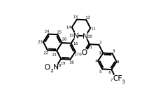 O=C(Cc1ccc(C(F)(F)F)cc1)N1CCCCN1c1ccc([N+](=O)[O-])c2ccccc12